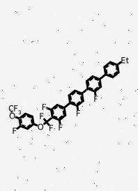 CCc1ccc(-c2ccc(-c3ccc(-c4cc(F)c(C(F)(F)Oc5ccc(OC(F)(F)F)c(F)c5)c(F)c4)c(F)c3)c(F)c2)cc1